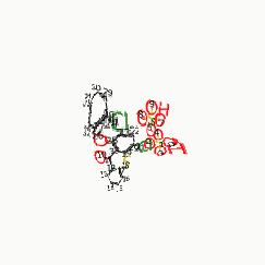 O=S(=O)(O)OOS(=O)(=O)O.O=c1c2ccccc2sc2c(Cl)cc(Cl)c(Oc3ccccc3)c12